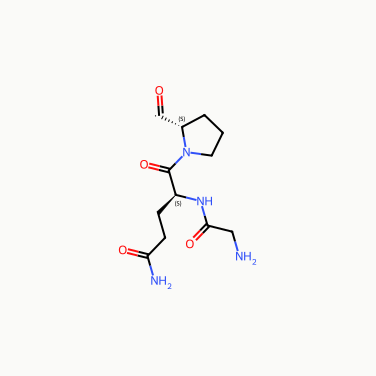 NCC(=O)N[C@@H](CCC(N)=O)C(=O)N1CCC[C@H]1[C]=O